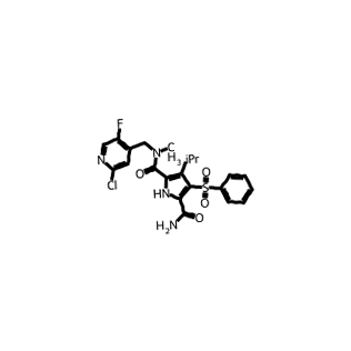 CC(C)c1c(C(=O)N(C)Cc2cc(Cl)ncc2F)[nH]c(C(N)=O)c1S(=O)(=O)c1ccccc1